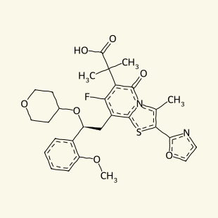 COc1ccccc1[C@H](Cc1c(F)c(C(C)(C)C(=O)O)c(=O)n2c(C)c(-c3ncco3)sc12)OC1CCOCC1